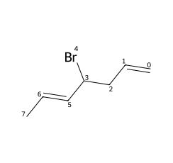 C=CCC(Br)/C=C/C